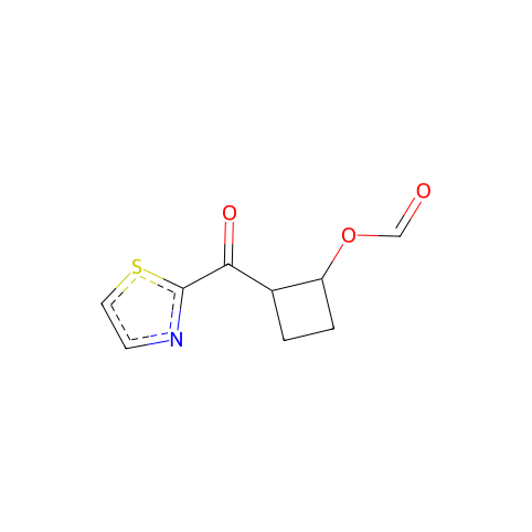 O=COC1CCC1C(=O)c1nccs1